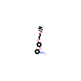 CC(C)(C)[Si](C)(C)OCCCCOc1ccc(Oc2ccccc2N)cc1